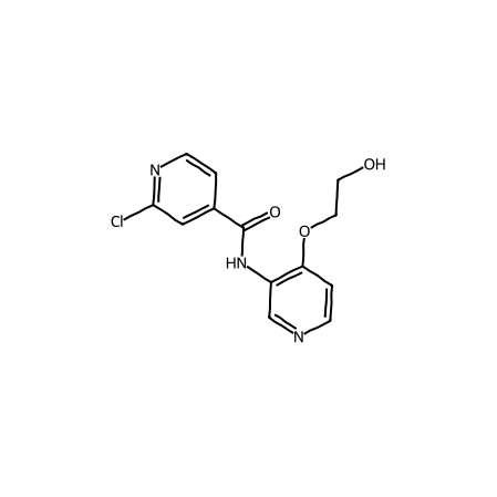 O=C(Nc1cnccc1OCCO)c1ccnc(Cl)c1